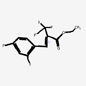 CCOC(=O)/C(=C/c1ccc(F)cc1F)C(F)(F)F